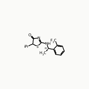 CC(C)C1SC(N[C@H](C)c2ccccc2C(F)(F)F)=NC1=O